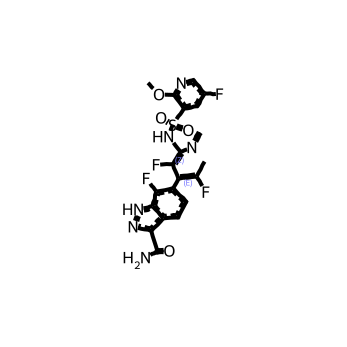 C=N/C(NS(=O)(=O)c1cc(F)cnc1OC)=C(F)\C(=C(/C)F)c1ccc2c(C(N)=O)n[nH]c2c1F